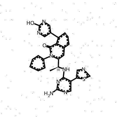 C[C@H](Nc1nc(N)ncc1-c1cncs1)c1cc2cccc(-c3cnc(O)nc3)c2c(=O)n1-c1ccccc1